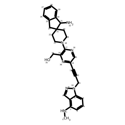 CNc1cccc2c1cnn2CC#Cc1cnc(N2CCC3(CC2)Cc2ccccc2C3N)c(CO)n1